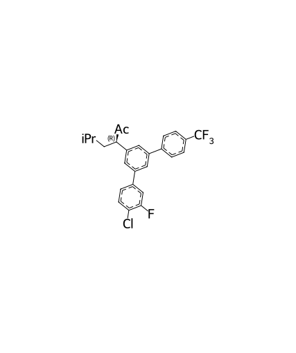 CC(=O)[C@H](CC(C)C)c1cc(-c2ccc(C(F)(F)F)cc2)cc(-c2ccc(Cl)c(F)c2)c1